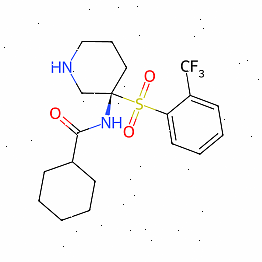 O=C(N[C@]1(S(=O)(=O)c2ccccc2C(F)(F)F)CCCNC1)C1CCCCC1